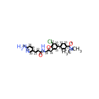 CN(C)C(=O)c1ccc(-c2cc(Cl)c3c(c2)CC(CNC(=O)C=Cc2ccc(N)nc2)O3)cc1